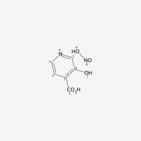 O=C(O)c1ccncc1O.O=NO